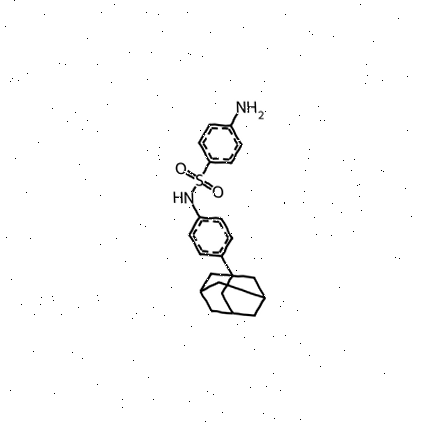 Nc1ccc(S(=O)(=O)Nc2ccc(C34CC5CC(CC(C5)C3)C4)cc2)cc1